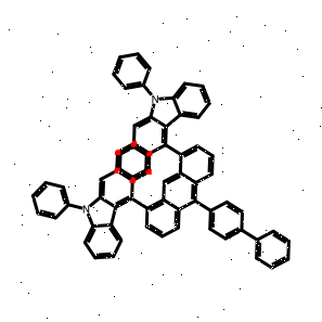 c1ccc(-c2ccc(-c3c4cccc(-c5c6ccccc6cc6c5c5ccccc5n6-c5ccccc5)c4cc4c(-c5c6ccccc6cc6c5c5ccccc5n6-c5ccccc5)cccc34)cc2)cc1